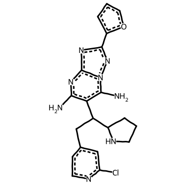 Nc1nc2nc(-c3ccco3)nn2c(N)c1C(Cc1ccnc(Cl)c1)C1CCCN1